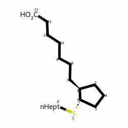 CCCCCCCS[C@H]1CCC[C@@H]1CCCCCCC(=O)O